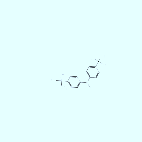 CC(C)(C)c1ccc(P(Cl)c2ccc(C(C)(C)C)cc2)cc1